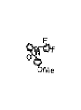 COc1ccc(-c2nn(Cc3ccc(F)cc3F)c3ccccc3c2=O)cc1